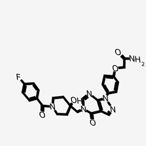 NC(=O)COc1ccc(-n2ncc3c(=O)n(CC4(O)CCN(C(=O)c5ccc(F)cc5)CC4)cnc32)cc1